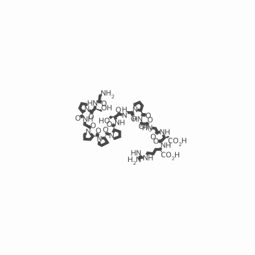 C[C@H](NC(=O)[C@@H]1CCCN1C(=O)CNC(=O)[C@H](CO)NC(=O)[C@@H]1CCCN1C(=O)[C@@H]1CCCN1C(=O)[C@@H]1CCCN1C(=O)CNC(=O)[C@@H]1CCCN1C(=O)[C@H](CO)NC(=O)CN)C(=O)NCC(=O)N[C@@H](CC(=O)O)C(=O)N[C@@H](CCCNC(=N)N)C(=O)O